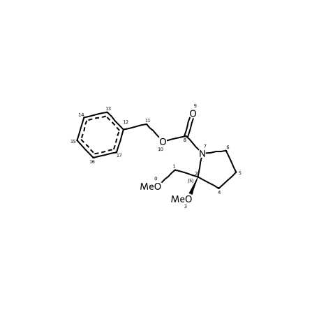 COC[C@@]1(OC)CCCN1C(=O)OCc1ccccc1